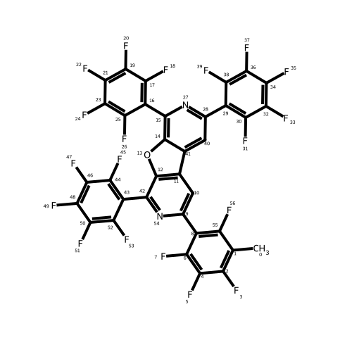 Cc1c(F)c(F)c(F)c(-c2cc3c(oc4c(-c5c(F)c(F)c(F)c(F)c5F)nc(-c5c(F)c(F)c(F)c(F)c5F)cc43)c(-c3c(F)c(F)c(F)c(F)c3F)n2)c1F